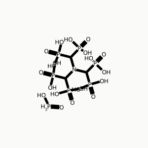 O=P(O)(O)C(N(C(P(=O)(O)O)P(=O)(O)O)C(P(=O)(O)O)P(=O)(O)O)P(=O)(O)O.O=[PH2]O